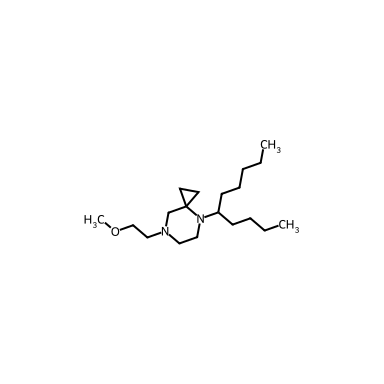 CCCCCC(CCCC)N1CCN(CCOC)CC12CC2